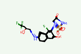 O=C1CN(c2c(O)cc3c(c2F)CC(NCC(O)CC(F)(F)F)CC3)S(=O)(=O)N1